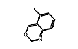 Cc1cccc2c1=COCN=2